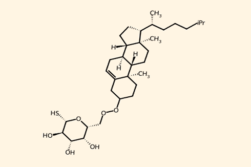 CC(C)CCC[C@@H](C)[C@H]1CC[C@H]2[C@@H]3CC=C4CC(OOC[C@H]5O[C@@H](S)[C@H](O)[C@@H](O)[C@H]5O)CC[C@]4(C)[C@H]3CC[C@]12C